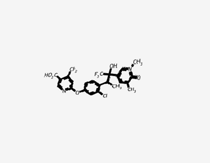 Cc1cc(C(O)(C(C)c2ccc(Oc3cc(C(F)(F)F)c(C(=O)O)cn3)cc2Cl)C(F)(F)F)cn(C)c1=O